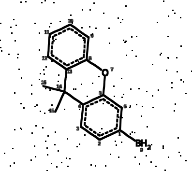 Bc1ccc2c(c1)Oc1ccccc1C2(C)C